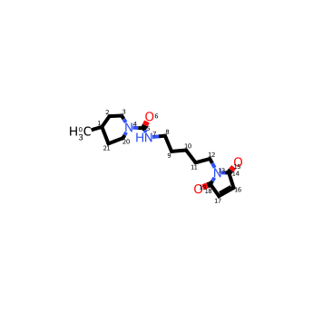 CC1CCN(C(=O)NCCCCCN2C(=O)C=CC2=O)CC1